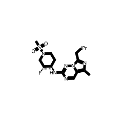 Cc1nc(CC(C)C)n2nc(N[C@@H]3CCN(S(C)(=O)=O)C[C@H]3F)ncc12